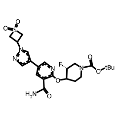 CC(C)(C)OC(=O)N1CCC(Oc2ncc(-c3cnn(C4CS(=O)(=O)C4)c3)cc2C(N)=O)[C@H](F)C1